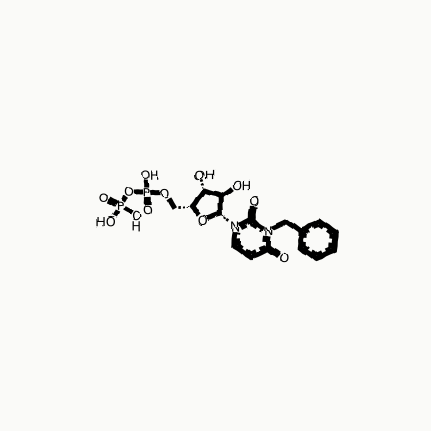 O=c1ccn([C@@H]2O[C@H](COP(=O)(O)OP(=O)(O)O)[C@H](O)C2O)c(=O)n1Cc1ccccc1